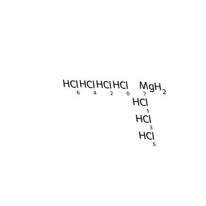 Cl.Cl.Cl.Cl.Cl.Cl.Cl.[MgH2]